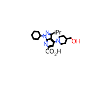 CC(C)c1nn(C2CCCCC2)c2nc(C(=O)O)cc(N3CCC(CO)CC3)c12